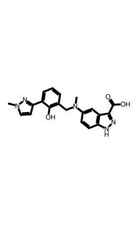 CN(Cc1cccc(-c2ccn(C)n2)c1O)c1ccc2[nH]nc(C(=O)O)c2c1